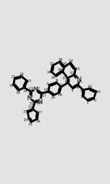 c1ccc(-c2cc(-c3ccc(-c4nc(-c5ccccc5)nc(-c5ccccc5)n4)cc3)c3c(ccc4ccccc43)n2)cc1